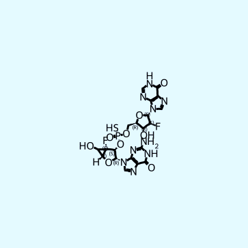 Nc1nc2c(ncn2[C@@H]2O[C@@H]3C(O)[C@@]3(F)[C@H]2OP(=O)(S)OC[C@H]2O[C@H](n3cnc4c(=O)[nH]cnc43)[C@@H](F)[C@@H]2O)c(=O)[nH]1